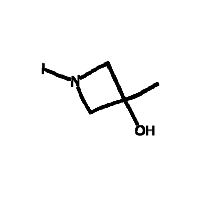 CC1(O)CN(I)C1